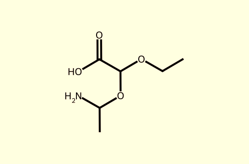 CCOC(OC(C)N)C(=O)O